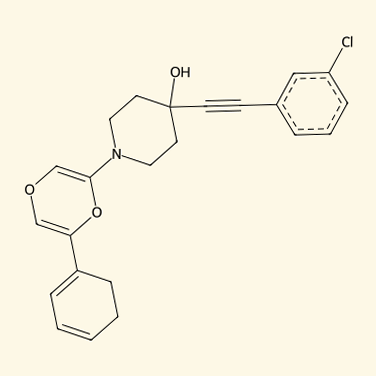 OC1(C#Cc2cccc(Cl)c2)CCN(C2=COC=C(C3=CC=CCC3)O2)CC1